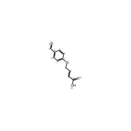 O=Cc1ccc(OCC=CC(=O)O)cc1